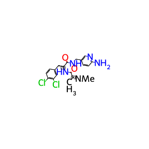 CN[C@H](C)C(=O)N[C@@H](Cc1ccc(Cl)c(Cl)c1)C(=O)NCc1ccc(N)nc1